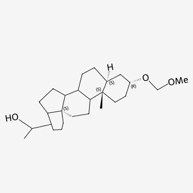 COCO[C@@H]1CC[C@]2(C)C3CC[C@]45CCCC(C(C)O)C4CCC5C3CC[C@H]2C1